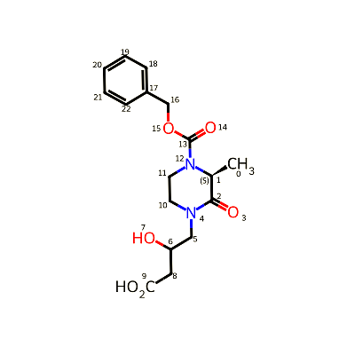 C[C@H]1C(=O)N(CC(O)CC(=O)O)CCN1C(=O)OCc1ccccc1